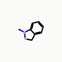 C[N]1[Y][CH2]c2ccccc21